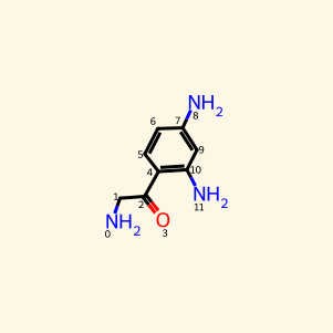 NCC(=O)c1ccc(N)cc1N